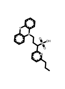 CCCc1cccc(C(CCN2c3ccccc3Sc3ccccc32)S(=O)(=O)O)n1